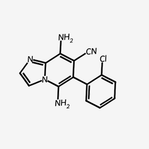 N#Cc1c(-c2ccccc2Cl)c(N)n2ccnc2c1N